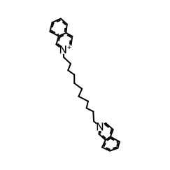 c1ccc2c[n+](CCCCCCCCCCC[n+]3ccc4ccccc4c3)ccc2c1